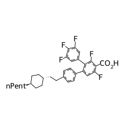 CCCCC[C@H]1CC[C@H](CCc2ccc(-c3cc(F)c(C(=O)O)c(F)c3-c3cc(F)c(F)c(F)c3)cc2)CC1